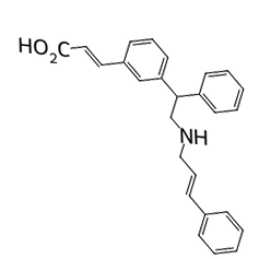 O=C(O)C=Cc1cccc(C(CNCC=Cc2ccccc2)c2ccccc2)c1